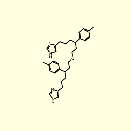 Cc1ccc(C(CCCc2c[nH]cn2)CCOCCC(CCCc2c[nH]cn2)c2ccc(C)cc2)cc1